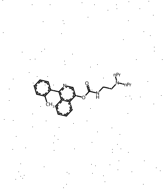 CCCN(CCC)CCNC(=O)Oc1cnc(-c2ccccc2C)c2ccccc12